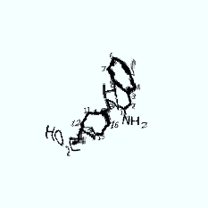 NC(Cc1ccccc1)NC1CCN(C(=O)O)CC1